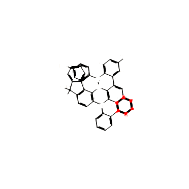 CC(C)(C)c1ccc(N2B3c4c(ccc5c4-c4ccccc4C5(C)C)N(c4ccccc4-c4ccccc4)c4c3c(cc3ccccc43)-c3cc(C(C)(C)C)ccc32)cc1